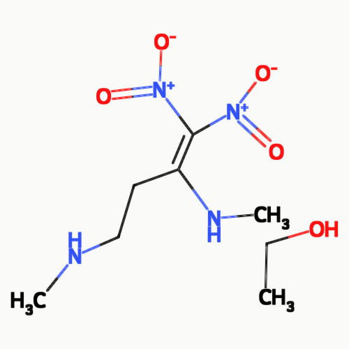 CCO.CNCCC(NC)=C([N+](=O)[O-])[N+](=O)[O-]